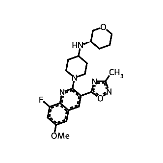 COc1cc(F)c2nc(N3CCC(N[C@@H]4CCCOC4)CC3)c(-c3nc(C)no3)cc2c1